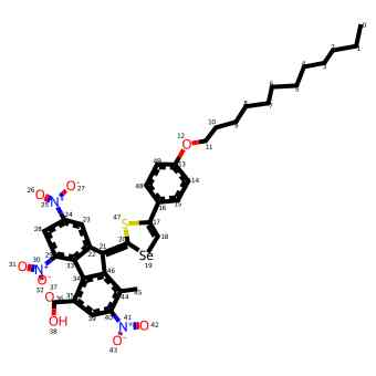 CCCCCCCCCCCCOc1ccc(C2=C[Se]C(=C3c4cc([N+](=O)[O-])cc([N+](=O)[O-])c4-c4c(C(=O)O)cc([N+](=O)[O-])c(C)c43)S2)cc1